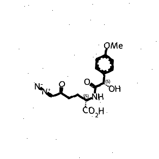 COc1ccc([C@H](O)C(=O)N[C@@H](CCC(=O)C=[N+]=[N-])C(=O)O)cc1